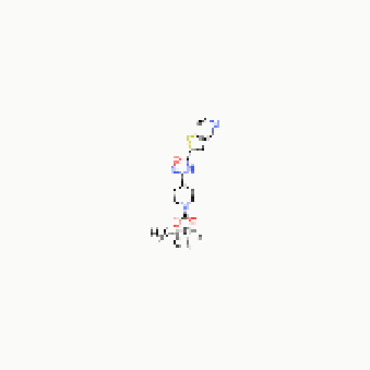 CC(C)(C)OC(=O)N1CCC(c2noc(-c3cc4cnccc4s3)n2)CC1